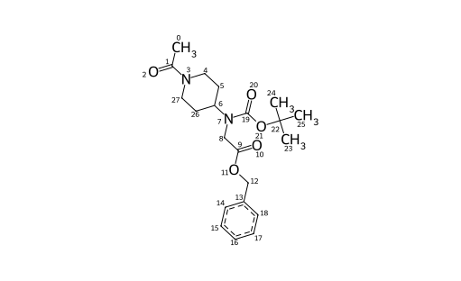 CC(=O)N1CCC(N(CC(=O)OCc2ccccc2)C(=O)OC(C)(C)C)CC1